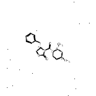 C[C@H]1CC[C@H](C(=O)N2C(=O)OC[C@@H]2Cc2ccccc2)[C@H](C)C1